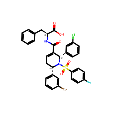 O=C(N[C@@H](Cc1ccccc1)C(=O)O)C1=CC[C@@H](c2cccc(Br)c2)N(S(=O)(=O)c2ccc(F)cc2)[C@H]1c1cccc(Cl)c1